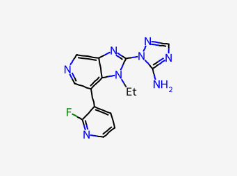 CCn1c(-n2ncnc2N)nc2cncc(-c3cccnc3F)c21